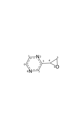 c1cnc(C2CO2)cn1